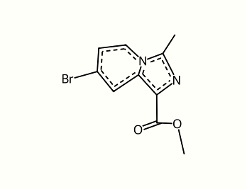 COC(=O)c1nc(C)n2ccc(Br)cc12